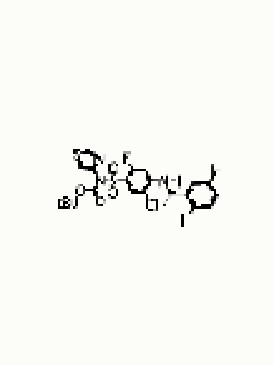 C[C@H](Nc1cc(F)c(S(=O)(=O)N(C(=O)OC(C)(C)C)c2cscn2)cc1Cl)c1cc(F)ccc1F